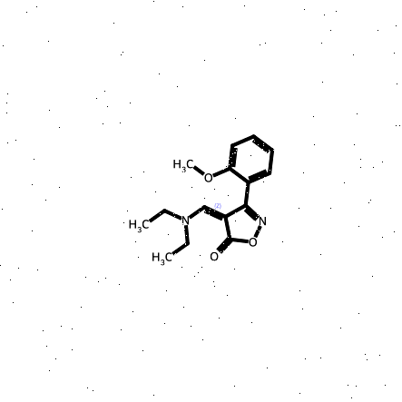 CCN(/C=C1\C(=O)ON=C1c1ccccc1OC)CC